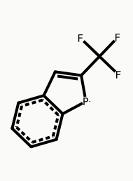 FC(F)(F)C1=Cc2ccccc2[P]1